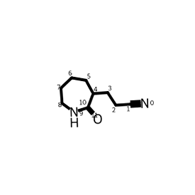 N#CCCC1CCCCNC1=O